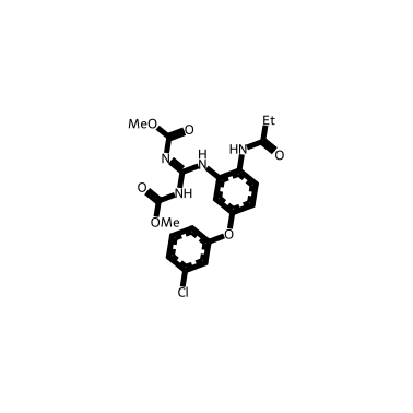 CCC(=O)Nc1ccc(Oc2cccc(Cl)c2)cc1NC(=NC(=O)OC)NC(=O)OC